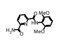 COc1cccc(OC)c1NC(=O)c1cccc(C(N)=O)n1